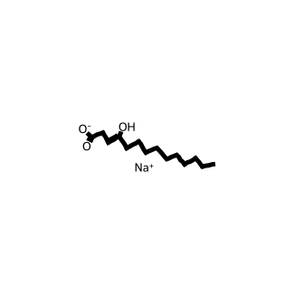 CCCCCCCCCCC(O)=CCC(=O)[O-].[Na+]